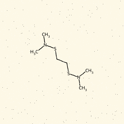 CN(C)SCCSN(C)C